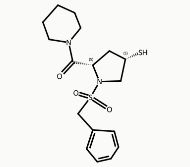 O=C([C@@H]1C[C@H](S)CN1S(=O)(=O)Cc1ccccc1)N1CCCCC1